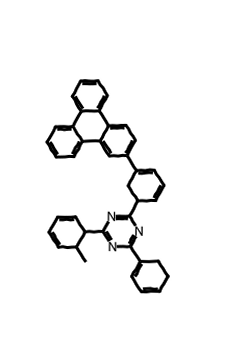 CC1C=CC=CC1c1nc(C2=CC=CCC2)nc(C2C=CC=C(c3ccc4c5ccccc5c5ccccc5c4c3)C2)n1